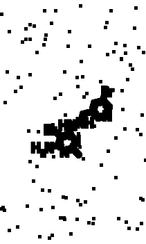 Cc1nc(N)c(Br)c(NNCc2cncc(Br)c2)n1